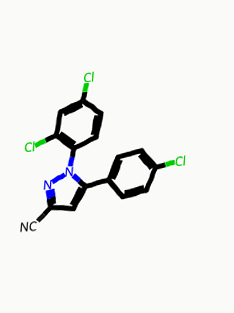 N#Cc1cc(-c2ccc(Cl)cc2)n(-c2ccc(Cl)cc2Cl)n1